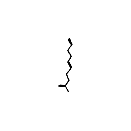 C=CCCC=CCCC(=C)C